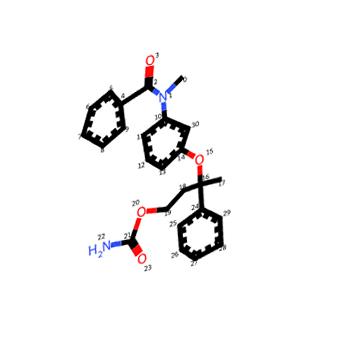 CN(C(=O)c1ccccc1)c1cccc(OC(C)(CCOC(N)=O)c2ccccc2)c1